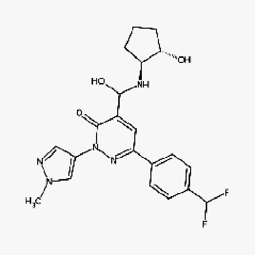 Cn1cc(-n2nc(-c3ccc(C(F)F)cc3)cc(C(O)N[C@H]3CCC[C@@H]3O)c2=O)cn1